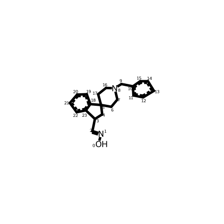 ON=CC1CC2(CCN(Cc3ccccc3)CC2)c2ccccc21